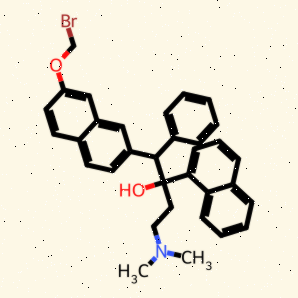 CN(C)CCC(O)(c1cccc2ccccc12)C(c1ccccc1)c1ccc2ccc(OCBr)cc2c1